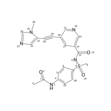 CC(=O)Nc1ccc(S(C)(=O)=NC(=O)c2cncc(C#Cc3cncn3C)c2)cc1